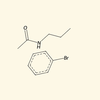 Brc1ccccc1.CCCNC(C)=O